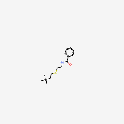 C[Si](C)(C)CCSCCNC(=O)c1ccccc1